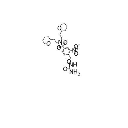 NC(=O)NOCc1ccc(S(=O)(=O)N(CCC2CCCCO2)CCC2CCCCO2)cc1[N+](=O)[O-]